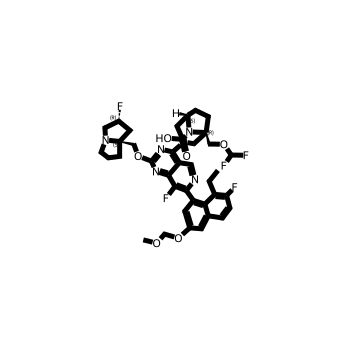 CCc1c(F)ccc2cc(OCOC)cc(-c3ncc4c(N5C[C@@H]6CC[C@](COC(F)F)(C5)N6C(=O)O)nc(OC[C@@]56CCCN5C[C@H](F)C6)nc4c3F)c12